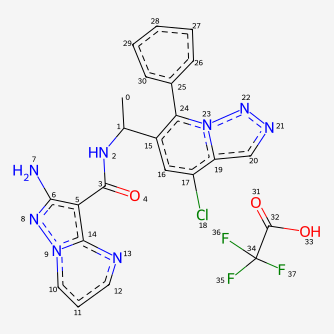 CC(NC(=O)c1c(N)nn2cccnc12)c1cc(Cl)c2cnnn2c1-c1ccccc1.O=C(O)C(F)(F)F